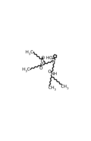 CCCCCCCCC(CCCCCC)CNC(=O)CCCCCN(CCCCC(COC(=O)CCCCCCC)COC(=O)CCCCCCC)CC1(CO)CCCC1